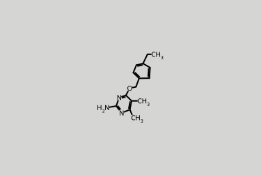 CCc1ccc(COc2nc(N)nc(C)c2C)cc1